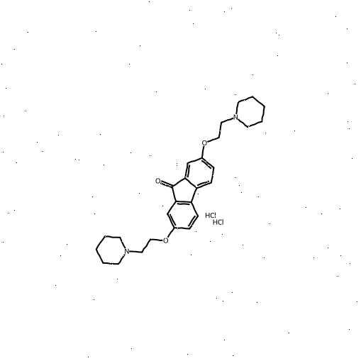 Cl.Cl.O=C1c2cc(OCCN3CCCCC3)ccc2-c2ccc(OCCN3CCCCC3)cc21